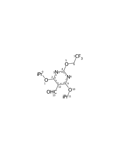 CC(C)Oc1nc(OCC(F)(F)F)nc(OC(C)C)c1C=O